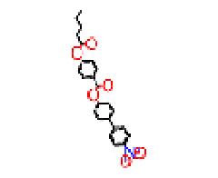 CCCCC(=O)Oc1ccc(C(=O)Oc2ccc(-c3ccc([N+](=O)[O-])cc3)cc2)cc1